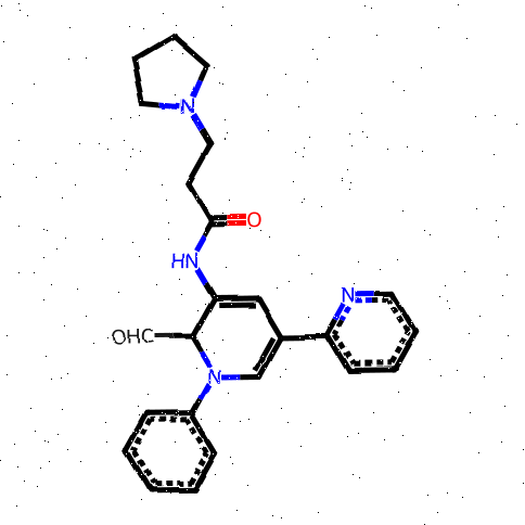 O=CC1C(NC(=O)CCN2CCCC2)=CC(c2ccccn2)=CN1c1ccccc1